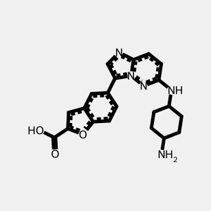 NC1CCC(Nc2ccc3ncc(-c4ccc5oc(C(=O)O)cc5c4)n3n2)CC1